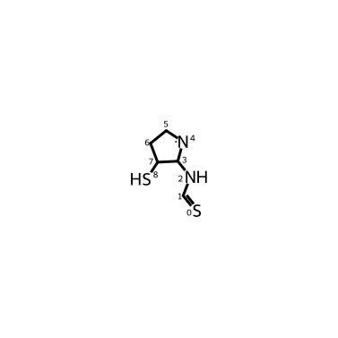 S=CNC1[N]CCC1S